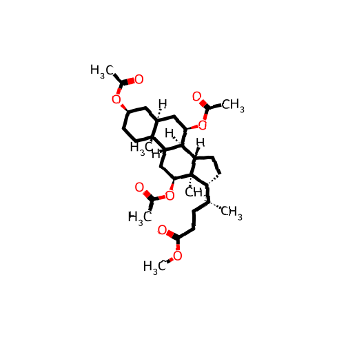 COC(=O)CC[C@@H](C)[C@H]1CC[C@H]2[C@@H]3[C@H](OC(C)=O)C[C@@H]4C[C@H](OC(C)=O)CC[C@]4(C)[C@H]3C[C@H](OC(C)=O)[C@]12C